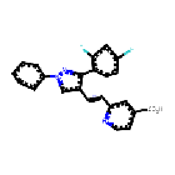 O=C(O)c1ccnc(/C=C/c2cn(-c3ccccc3)nc2-c2ccc(F)cc2F)c1